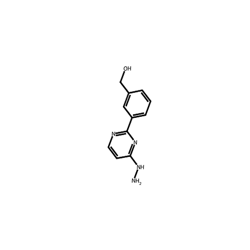 NNc1ccnc(-c2cccc(CO)c2)n1